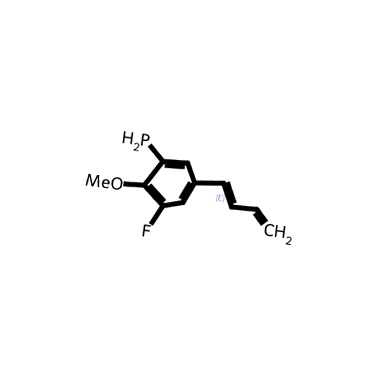 C=C/C=C/c1cc(F)c(OC)c(P)c1